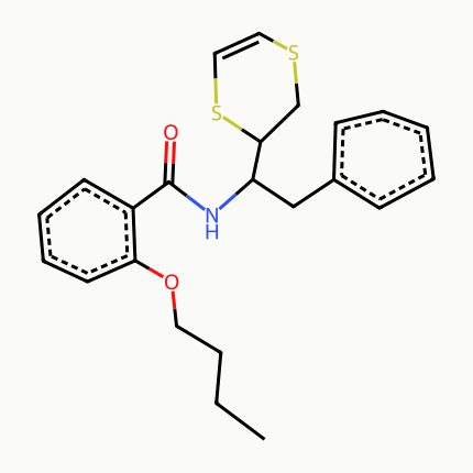 CCCCOc1ccccc1C(=O)NC(Cc1ccccc1)C1CSC=CS1